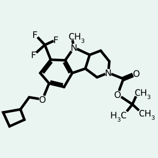 CN1c2c(cc(OCC3CCC3)cc2C(F)(F)F)C2CN(C(=O)OC(C)(C)C)CCC21